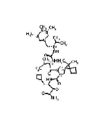 CC(C)[C@H](NC(=O)N[C@H](CN1C[C@@H](C)N(C)[C@@H](C)C1)C(C)C)C(=O)N1C[C@]2(C[C@H]1C(=O)NC(CC1CCC1)C(=O)C(N)=O)C(C)(C)C21CCC1